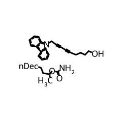 CCCCCCCCCCCCC(C)OC(N)=O.OCCCCC#CC#CCn1c2ccccc2c2ccccc21